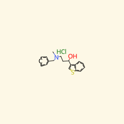 CN(CCC(O)c1csc2ccccc12)Cc1ccccc1.Cl